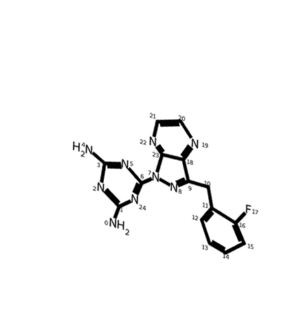 Nc1nc(N)nc(-n2nc(Cc3ccccc3F)c3nccnc32)n1